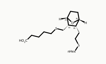 CCCCCCSCC[C@@H]1[C@H](CSCCCCC(=O)O)[C@@H]2CC[C@H]1O2